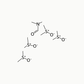 CN(C)C=O.C[S+](C)[O-].C[S+](C)[O-].C[S+](C)[O-].C[S+](C)[O-]